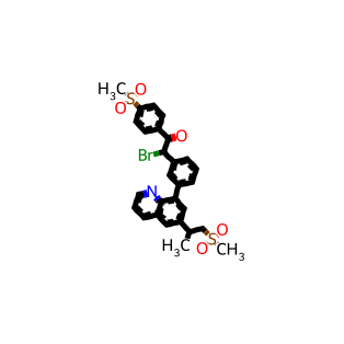 CC(CS(C)(=O)=O)c1cc(-c2cccc(C(Br)C(=O)c3ccc(S(C)(=O)=O)cc3)c2)c2ncccc2c1